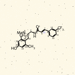 CN[C@H](CNC(=O)/C=C/c1cccc(C(F)(F)F)c1)Cc1c(C)cc(O)cc1C